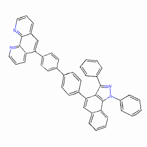 c1ccc(-c2nn(-c3ccccc3)c3c2c(-c2ccc(-c4ccc(-c5cc6cccnc6c6ncccc56)cc4)cc2)cc2ccccc23)cc1